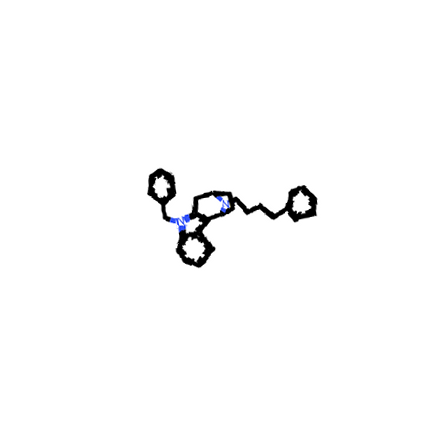 c1ccc(CCCCN2C3CCC2c2c(n(Cc4ccccc4)c4ccccc24)C3)cc1